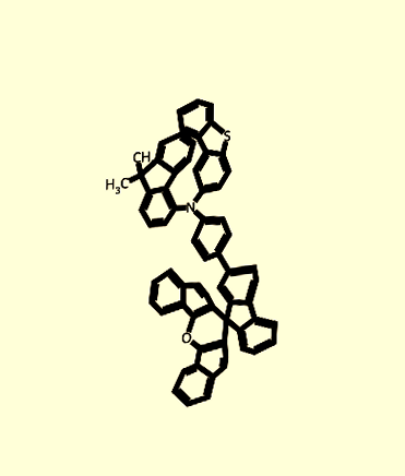 CC1(C)c2ccccc2-c2c(N(c3ccc(-c4ccc5c(c4)C4(c6ccccc6-5)c5ccc6ccccc6c5Oc5c4ccc4ccccc54)cc3)c3ccc4sc5ccccc5c4c3)cccc21